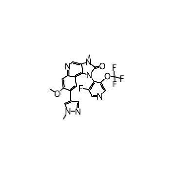 COc1cc2ncc3c(c2cc1-c1cnn(C)c1)n(-c1c(F)cncc1OC(F)(F)F)c(=O)n3C